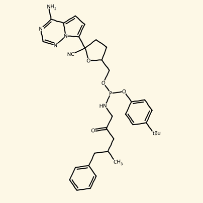 CC(CC(=O)CNP(OCC1CCC(C#N)(c2ccc3c(N)ncnn23)O1)Oc1ccc(C(C)(C)C)cc1)Cc1ccccc1